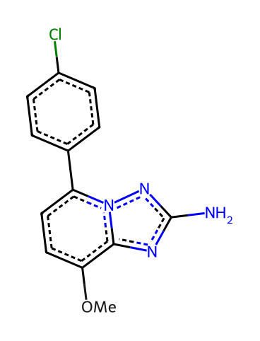 COc1ccc(-c2ccc(Cl)cc2)n2nc(N)nc12